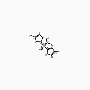 [CH2]=[Zr]([C]1=CC(C)=CC1)([C]1=CC(C)=CC1)=[C](C)C